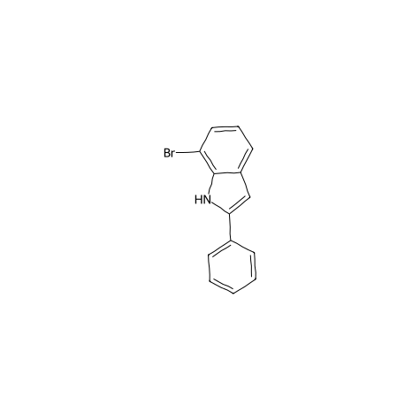 Brc1cccc2cc(-c3ccccc3)[nH]c12